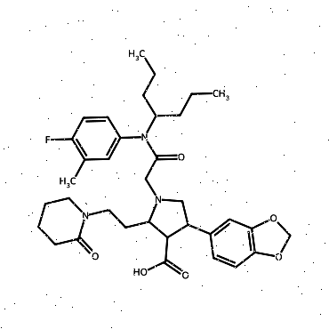 CCCC(CCC)N(C(=O)CN1CC(c2ccc3c(c2)OCO3)C(C(=O)O)C1CCN1CCCCC1=O)c1ccc(F)c(C)c1